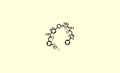 O=C(Cc1cccc(OC(F)(F)F)c1)Nc1ccc(C2CCN(c3nnc(NC(=O)Cc4csc(-c5ccccc5)n4)s3)C2)nn1